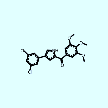 COc1cc(C(=O)c2cc(-c3cc(Cl)cc(Cl)c3)c[nH]2)cc(OC)c1OC